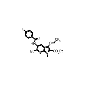 CCOC(=O)c1c(OCC(F)(F)F)c2cc(NC(=O)c3ccc(F)cc3)c(CC)nc2n1C